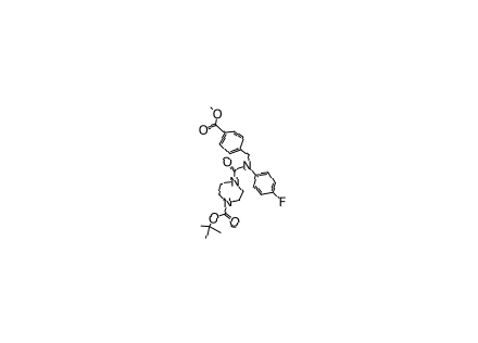 COC(=O)c1ccc(CN(C(=O)N2CCN(C(=O)OC(C)(C)C)CC2)c2ccc(F)cc2)cc1